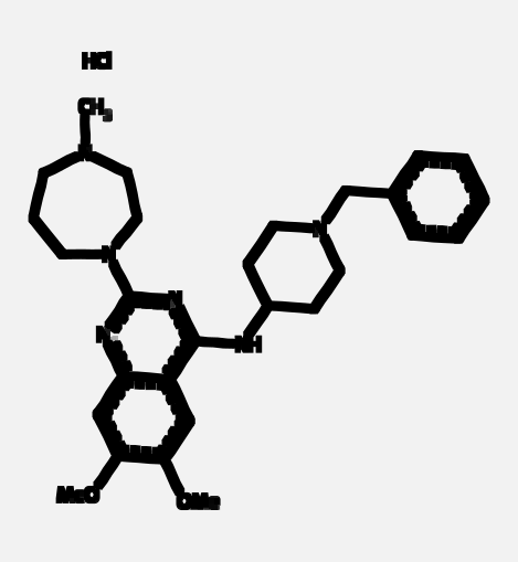 COc1cc2nc(N3CCCN(C)CC3)nc(NC3CCN(Cc4ccccc4)CC3)c2cc1OC.Cl